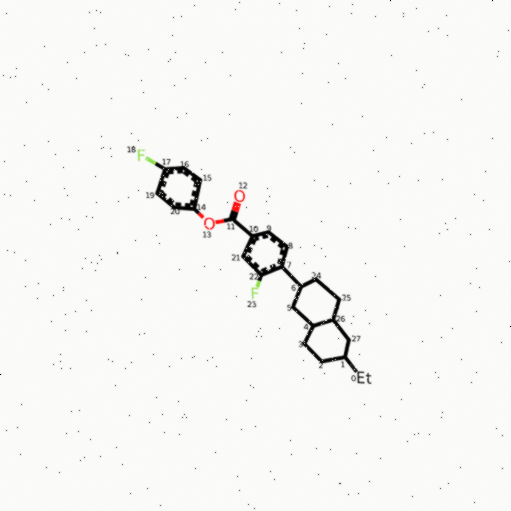 CCC1CCC2CC(c3ccc(C(=O)Oc4ccc(F)cc4)cc3F)CCC2C1